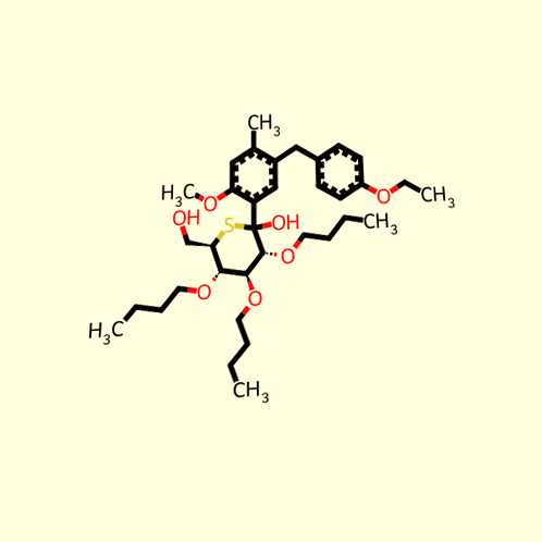 CCCCO[C@H]1[C@H](OCCCC)[C@@H](CO)SC(O)(c2cc(Cc3ccc(OCC)cc3)c(C)cc2OC)[C@@H]1OCCCC